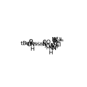 Cn1ncc(-c2nc(N[C@H]3CC[C@H](N(CCCCCCNC(=O)OC(C)(C)C)C(=O)O)CC3)ncc2Cl)c1CC1CC1